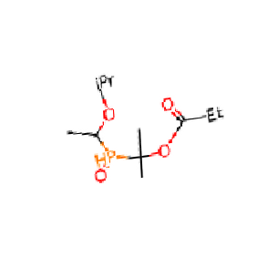 CCC(=O)OC(C)(C)[PH](=O)C(C)OC(C)C